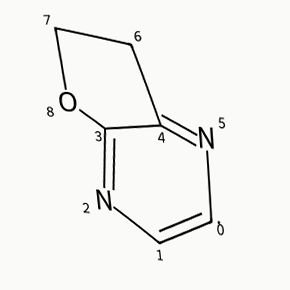 [c]1cnc2c(n1)CCO2